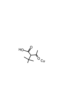 CC(=O)C(C(=O)O)C(C)(C)C.[Cu]